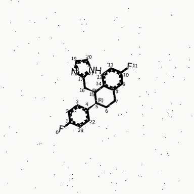 Fc1ccc([C@@H]2CCc3cc(F)ccc3[C@@H]2Cc2ncc[nH]2)cc1